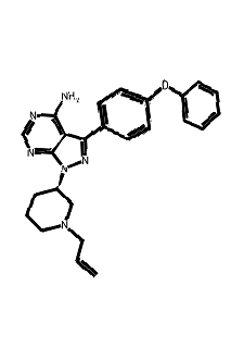 C=CCN1CCC[C@@H](n2nc(-c3ccc(Oc4ccccc4)cc3)c3c(N)ncnc32)C1